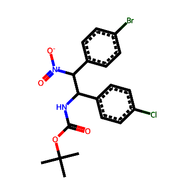 CC(C)(C)OC(=O)NC(c1ccc(Cl)cc1)C(c1ccc(Br)cc1)[N+](=O)[O-]